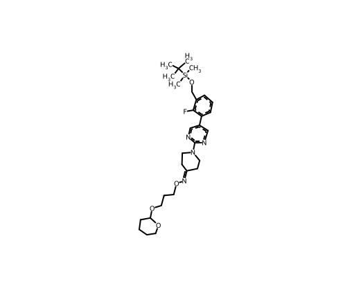 CC(C)(C)[Si](C)(C)OCc1cccc(-c2cnc(N3CCC(=NOCCCOC4CCCCO4)CC3)nc2)c1F